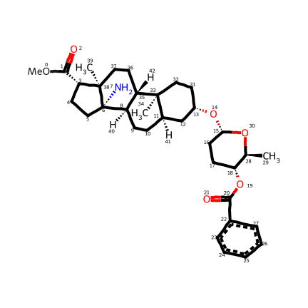 COC(=O)[C@H]1CC[C@]2(N)[C@@H]3CC[C@@H]4C[C@@H](O[C@H]5CC[C@@H](OC(=O)c6ccccc6)[C@H](C)O5)CC[C@]4(C)[C@H]3CC[C@]12C